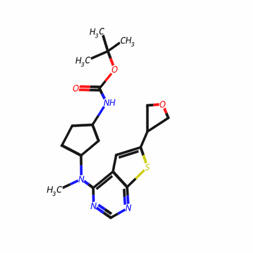 CN(c1ncnc2sc(C3COC3)cc12)C1CCC(NC(=O)OC(C)(C)C)C1